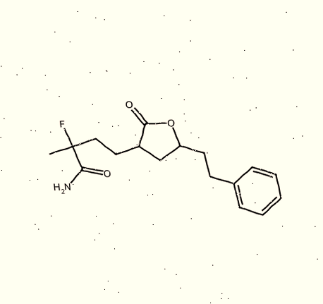 CC(F)(CCC1CC([CH]Cc2ccccc2)OC1=O)C(N)=O